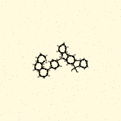 CC1(C)c2ccccc2-c2cc3c4ccccc4n(-c4ccc(-c5cccc6ccc7cccnc7c56)cc4)c3cc21